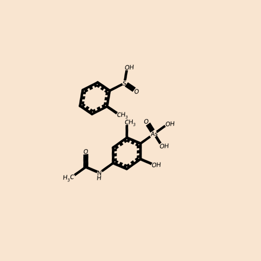 CC(=O)Nc1cc(C)c([As](=O)(O)O)c(O)c1.Cc1ccccc1S(=O)O